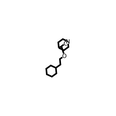 C1CCC(CCOC2CN3CCC2CC3)CC1